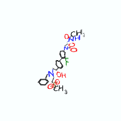 CC(=O)NC[C@H]1CN(c2ccc(-c3ccc([C@H](O)CN(CCS(C)(=O)=O)Cc4ccccc4)cc3)c(F)c2)C(=O)O1